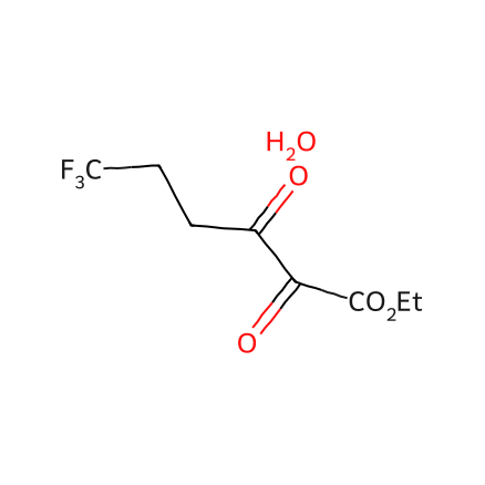 CCOC(=O)C(=O)C(=O)CCC(F)(F)F.O